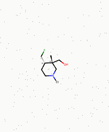 CCN1CC[C@H](CF)[C@](C)(CO)C1